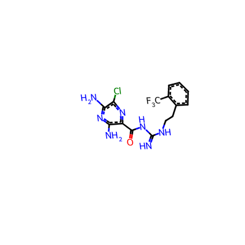 N=C(NCCc1ccccc1C(F)(F)F)NC(=O)c1nc(Cl)c(N)nc1N